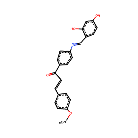 CCCCCCCCOc1ccc(C=CC(=O)c2ccc(N=Cc3ccc(O)cc3O)cc2)cc1